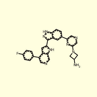 NC1CN(c2cncc(-c3ccc4[nH]nc(-c5cc6c(-c7ccc(F)cc7)cncc6[nH]5)c4c3)n2)C1